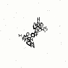 CC(C)n1c(=O)[nH]c2nccc(Oc3ccc(-c4nn(-c5cccnn5)c(C(F)(F)F)c4C(N)=O)cc3F)c21